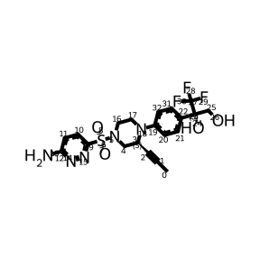 CC#C[C@H]1CN(S(=O)(=O)c2ccc(N)nn2)CCN1c1ccc([C@](O)(CO)C(F)(F)F)cc1